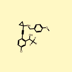 COc1ccc(CNC2(C#Cc3ccc(Cl)cc3C(O)C(F)(F)F)CC2)cc1